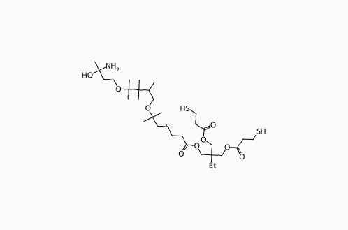 CCC(COC(=O)CCS)(COC(=O)CCS)COC(=O)CCSCC(C)(C)OCC(C)C(C)(C)C(C)(C)OCCC(C)(N)O